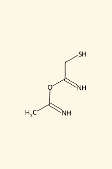 CC(=N)OC(=N)CS